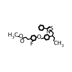 CCCC(Cc1nc(-c2ccccc2)cs1)c1ccc(COc2ccc(CCC(=O)OCC)c(F)c2)cc1